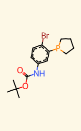 CC(C)(C)OC(=O)Nc1ccc(Br)c(P2CCCC2)c1